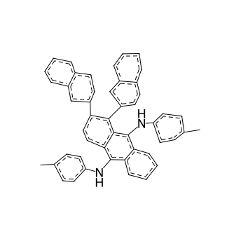 Cc1ccc(Nc2c3ccccc3c(Nc3ccc(C)cc3)c3c(-c4ccc5ccccc5c4)c(-c4ccc5ccccc5c4)ccc23)cc1